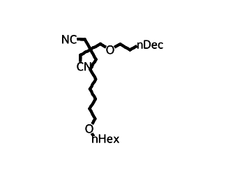 CCCCCCCCCCCCOCC(CC#N)(CC#N)CCCCCCCOCCCCCC